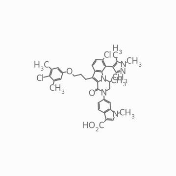 Cc1cc(OCCCc2c3n(c4c(-c5c(C)nn(C)c5C)c(Cl)ccc24)C(C)CN(c2ccc4c(C(=O)O)cn(C)c4c2)C3=O)cc(C)c1Cl